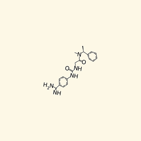 C[C@@H](c1ccccc1)N(C)C(=O)CNC(=O)Nc1ccc(C(=N)N)cc1